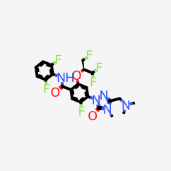 CN(C)Cc1nn(-c2cc(O[C@@H](CF)C(F)F)c(C(=O)Nc3c(F)cccc3F)cc2F)c(=O)n1C